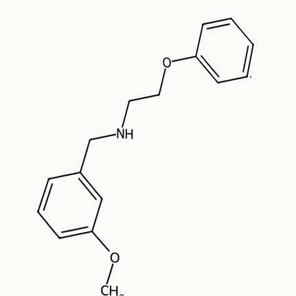 COc1cccc(CNCCOc2c[c]ccc2)c1